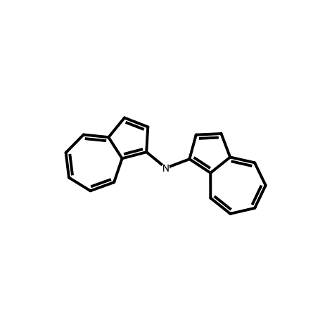 c1ccc2ccc([N]c3ccc4cccccc3-4)c-2cc1